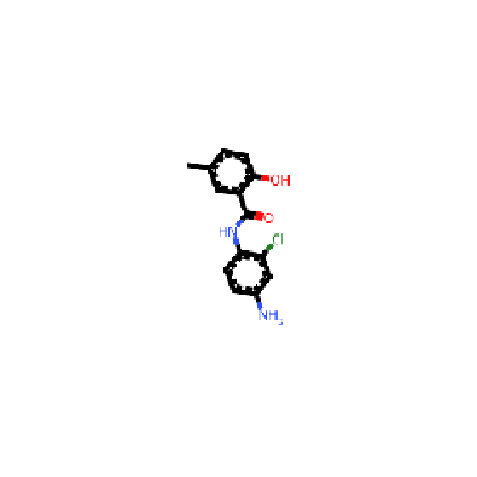 Cc1ccc(O)c(C(=O)Nc2ccc(N)cc2Cl)c1